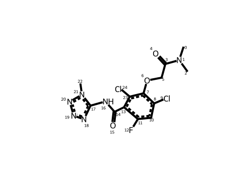 CN(C)C(=O)COc1c(Cl)cc(F)c(C(=O)Nc2nnnn2C)c1Cl